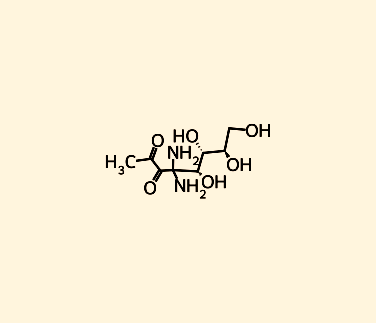 CC(=O)C(=O)C(N)(N)[C@@H](O)[C@H](O)[C@H](O)CO